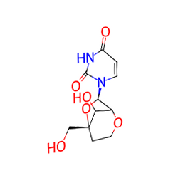 O=c1ccn([C@@H]2O[C@@]3(CO)CCOC2C3O)c(=O)[nH]1